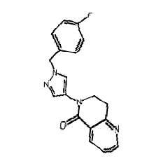 O=C1c2cccnc2CCN1c1cnn(Cc2ccc(F)cc2)c1